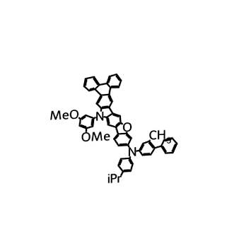 COc1cc(OC)cc(-n2c3cc4c(cc3c3cc5c6ccccc6c6ccccc6c5cc32)oc2cc(N(c3ccc(C(C)C)cc3)c3ccc(-c5ccccc5)c(C)c3)ccc24)c1